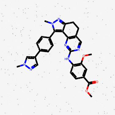 COC(=O)c1ccc(Nc2ncc3c(n2)-c2c(nn(C)c2-c2ccc(-c4cnn(C)c4)cc2)CC3)c(OC)c1